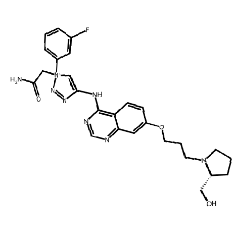 NC(=O)C[N+]1(c2cccc(F)c2)C=C(Nc2ncnc3cc(OCCCN4CCC[C@@H]4CO)ccc23)N=N1